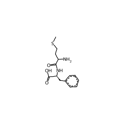 CSCCC(N)C(=O)N[C@@H](Cc1ccccc1)C(=O)O